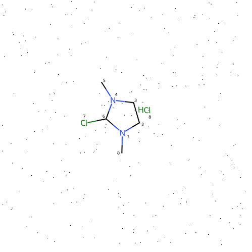 CN1CCN(C)C1Cl.Cl